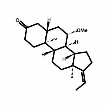 C/C=C1/CC[C@H]2[C@@H]3[C@@H](OC)C[C@H]4CC(=O)CC[C@]4(C)[C@H]3CC[C@]12C